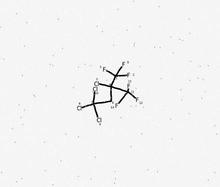 FC(F)(F)C(Cl)(CC(Cl)(Cl)Cl)C(F)(F)F